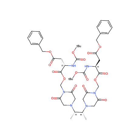 C[C@H]([C@H](C)N1CC(=O)N(COC(=O)[C@H](CC(=O)OCc2ccccc2)NC(=O)OC(C)(C)C)C(=O)C1)N1CC(=O)N(COC(=O)[C@H](CC(=O)OCc2ccccc2)NC(=O)OC(C)(C)C)C(=O)C1